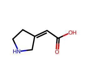 O=C(O)/C=C1/CCNC1